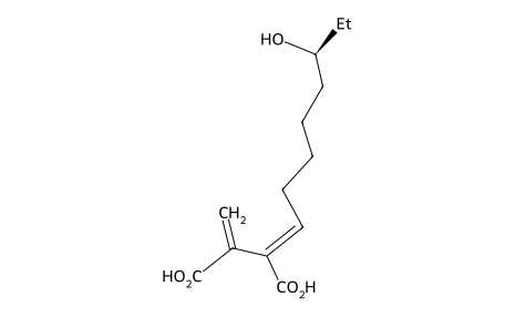 C=C(C(=O)O)/C(=C\CCCC[C@@H](O)CC)C(=O)O